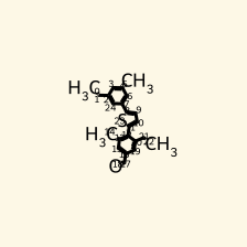 CCc1cc(C)cc(-c2ccc(-c3c(C)cc(C=O)cc3CC)s2)c1